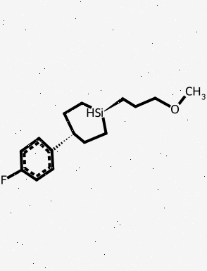 COCCC[Si@H]1CC[C@H](c2ccc(F)cc2)CC1